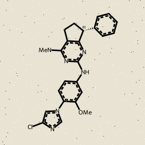 CNc1nc(Nc2ccc(-n3cnc(Cl)c3)c(OC)c2)nc2c1CC[C@@H]2c1ccccc1